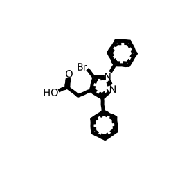 O=C(O)Cc1c(-c2ccccc2)nn(-c2ccccc2)c1Br